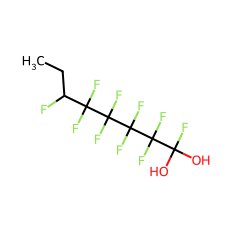 CCC(F)C(F)(F)C(F)(F)C(F)(F)C(F)(F)C(O)(O)F